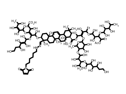 CCC(OC(O)C(O)C(OC(O)C(O)C(O)C(C)O)C(CC)OC(C)=O)/C(O)=C(\OC1OC(C)C(OC(O)C(O)C(OC(O)C(O)C(O)C(O)CCO)C(C)O)C(O)C1O)C(O)OC(=O)[C@@H]1CC(C)(C)CC2C3=CCC4[C@@]5(C)CC[C@H](OC(O)/C(OC(O)/C(O)=C(\O)C(O)CCO)=C(/OC(O)/C(O)=C(/O)C(C)O)C(O)CC(=O)O)[C@@](C)(/C=N/NCCCCCCN6C(=O)C=CC6=O)C5CC[C@@]4(C)[C@]3(C)C[C@@H](O)C21